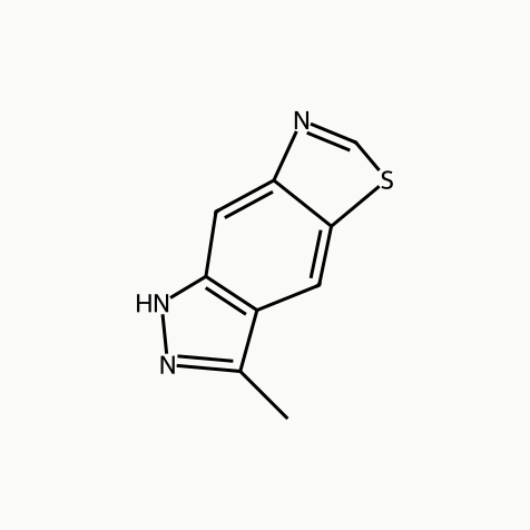 Cc1n[nH]c2cc3ncsc3cc12